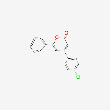 O=c1cc(-c2ccc(Cl)cc2)cc(-c2ccccc2)o1